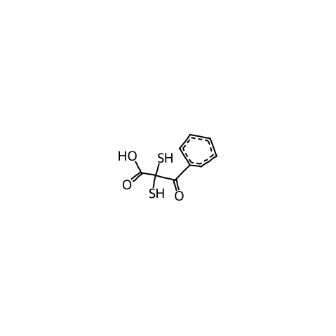 O=C(O)C(S)(S)C(=O)c1ccccc1